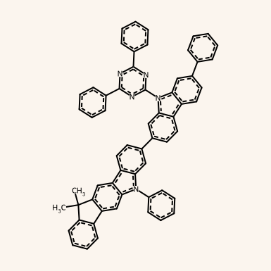 CC1(C)c2ccccc2-c2cc3c(cc21)c1ccc(-c2ccc4c5ccc(-c6ccccc6)cc5n(-c5nc(-c6ccccc6)nc(-c6ccccc6)n5)c4c2)cc1n3-c1ccccc1